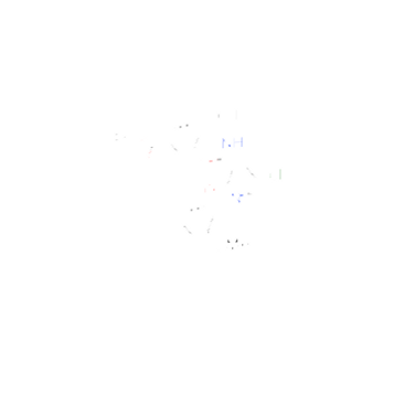 COc1cccc(Oc2ncc(Cl)cc2C(=O)N[C@@H](C)c2ccc(C(=O)OC(C)C)cc2)c1